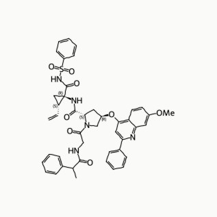 C=C[C@@H]1C[C@]1(NC(=O)[C@@H]1C[C@@H](Oc2cc(-c3ccccc3)nc3cc(OC)ccc23)CN1C(=O)CNC(=O)C(C)c1ccccc1)C(=O)NS(=O)(=O)c1ccccc1